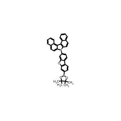 CC1(C)OB(c2ccc3c(c2)oc2cc(-n4c5ccc6ccccc6c5c5c6ccccc6ccc54)ccc23)OC1(C)C